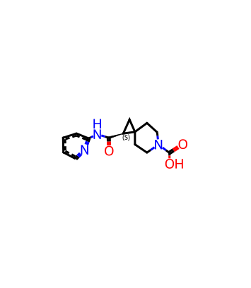 O=C(Nc1ccccn1)[C@H]1CC12CCN(C(=O)O)CC2